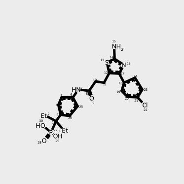 CCC(CC)(c1ccc(NC(=O)CCc2sc(N)nc2-c2ccc(Cl)cc2)cc1)P(=O)(O)O